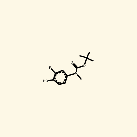 CN(C(=O)OC(C)(C)C)c1ccc(O)c(F)c1